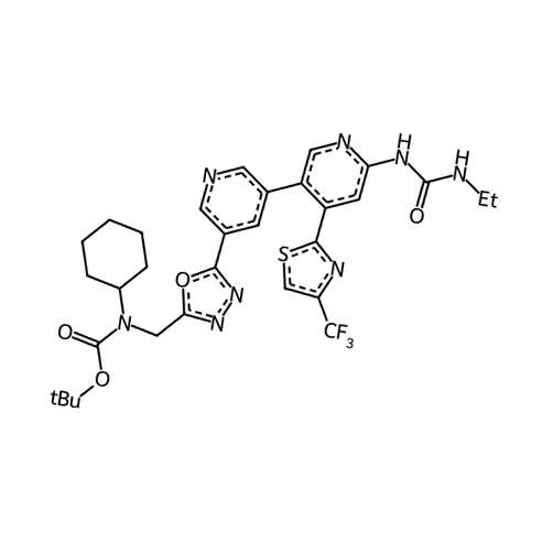 CCNC(=O)Nc1cc(-c2nc(C(F)(F)F)cs2)c(-c2cncc(-c3nnc(CN(C(=O)OC(C)(C)C)C4CCCCC4)o3)c2)cn1